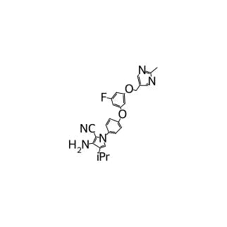 Cc1ncc(COc2cc(F)cc(Oc3ccc(-n4cc(C(C)C)c(N)c4C#N)cc3)c2)cn1